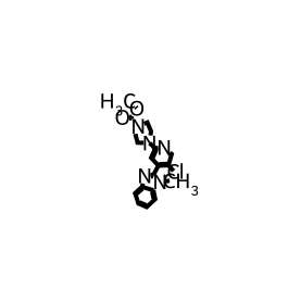 COC(=O)N1CCN(c2cc(-c3nc4ccccc4n3C)c(Cl)cn2)CC1